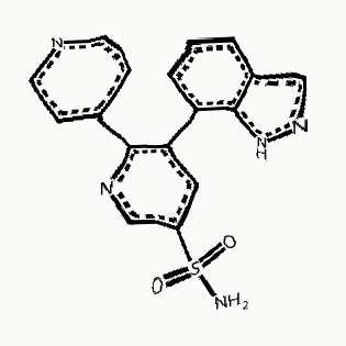 NS(=O)(=O)c1cnc(-c2ccncc2)c(-c2cccc3cn[nH]c23)c1